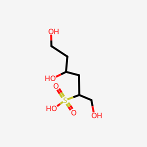 O=S(=O)(O)C(CO)CC(O)CCO